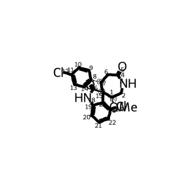 CO[C@H]1CNC(=O)C[C@@H](c2ccc(Cl)cc2)[C@]12C(=O)Nc1cccc(Cl)c12